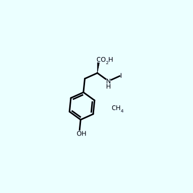 C.O=C(O)[C@H](Cc1ccc(O)cc1)NI